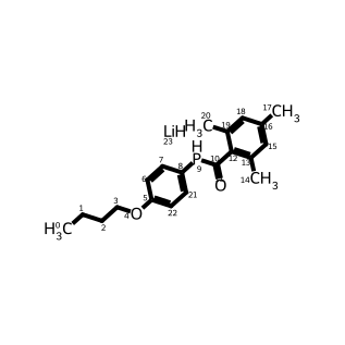 CCCCOc1ccc(PC(=O)c2c(C)cc(C)cc2C)cc1.[LiH]